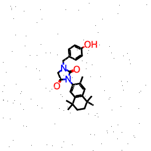 Cc1cc2c(cc1N1C(=O)CN(Cc3ccc(O)cc3)C1=O)C(C)(C)CCC2(C)C